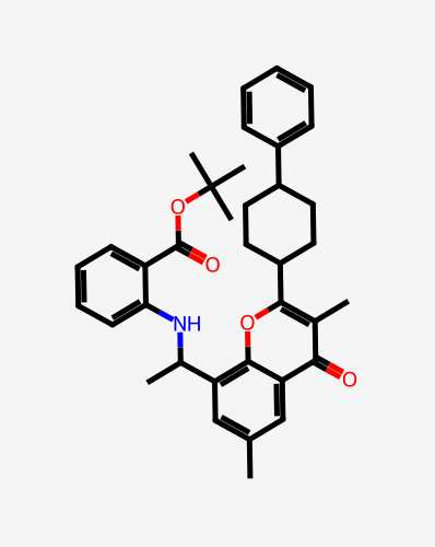 Cc1cc(C(C)Nc2ccccc2C(=O)OC(C)(C)C)c2oc(C3CCC(c4ccccc4)CC3)c(C)c(=O)c2c1